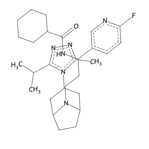 Cc1nnc(C(C)C)n1C1CC2CCC(C1)N2CCC(NC(=O)C1CCCCC1)c1ccc(F)nc1